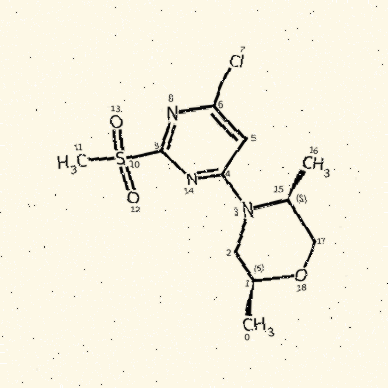 C[C@H]1CN(c2cc(Cl)nc(S(C)(=O)=O)n2)[C@@H](C)CO1